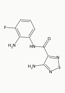 Nc1nsnc1C(=O)Nc1cccc(F)c1N